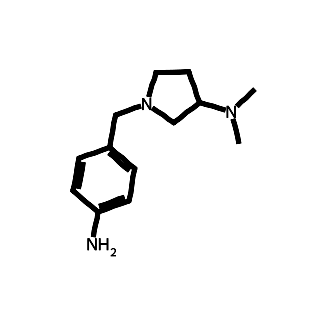 CN(C)C1CCN(Cc2ccc(N)cc2)C1